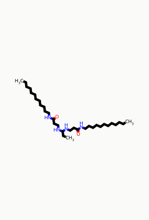 CCCCCCCCCCCCNC(=O)CCNC(CC)NCCC(=O)NCCCCCCCCCCCC